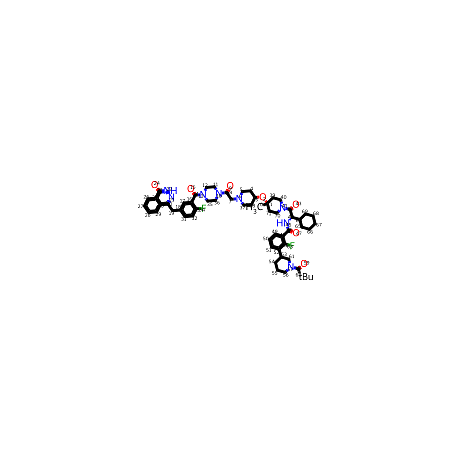 CC1(OC2CCN(CC(=O)N3CCN(C(=O)c4cc(Cc5n[nH]c(=O)c6ccccc56)ccc4F)CC3)CC2)CCN(C(=O)[C@H](NC(=O)c2cccc(C3CCCN(C(=O)C(C)(C)C)C3)c2F)C2CCCCC2)CC1